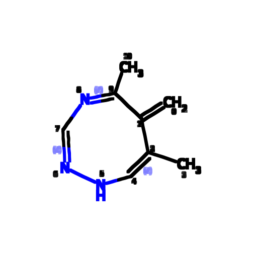 C=C1/C(C)=C\N/N=C\N=C/1C